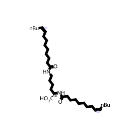 CCCC/C=C\CCCCCCCC(=O)NCCCC[C@H](NC(=O)CCCCCCC/C=C\CCCC)C(=O)O